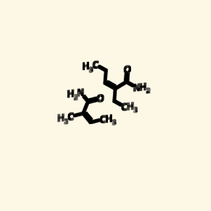 CC=C(C)C(N)=O.CCC=C(CC)C(N)=O